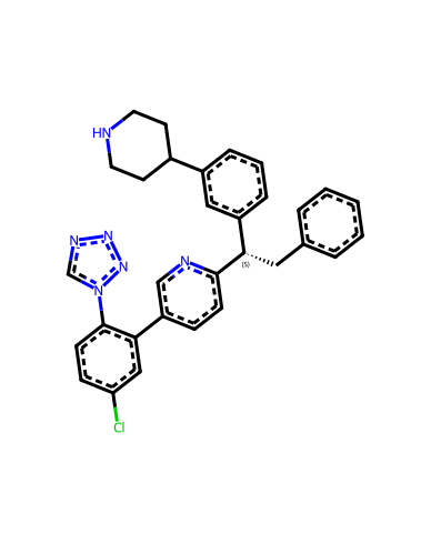 Clc1ccc(-n2cnnn2)c(-c2ccc([C@@H](Cc3ccccc3)c3cccc(C4CCNCC4)c3)nc2)c1